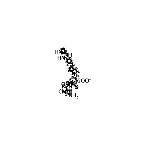 CO/N=C(\C(=O)N[C@@H]1C(=O)N2C(C(=O)[O-])=C(C[n+]3ccc4c(ccn4Cc4ccc(C(=N)N[C@@H]5CCCNC5)cc4)c3)CS[C@H]12)c1nc(N)sc1Cl